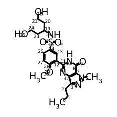 CCCc1nn(C)c2c(=O)[nH]c(-c3cc(S(=O)(=O)NC(CCO)CCO)ccc3OC)nc12